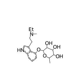 CCN(C)CCc1c[nH]c2cccc(OC3OC(C)C(O)C(O)C3O)c12